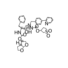 O=C(NN(Cc1ccc(-c2ccccn2)cc1)C[C@H](O)[C@H](Cc1ccccc1)NC(=O)O[C@H]1COC2OCC[C@H]21)OC1CCS(=O)(=O)C1